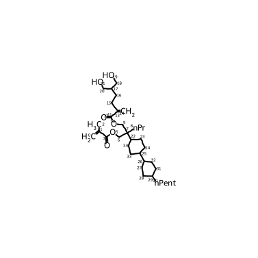 C=C(C)C(=O)OCC(CCC)(COC(=O)C(=C)CCC(CO)CO)C1CCC(C2CCC(CCCCC)CC2)CC1